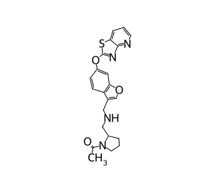 CC(=O)N1CCCC1CNCc1coc2cc(Oc3nc4ncccc4s3)ccc12